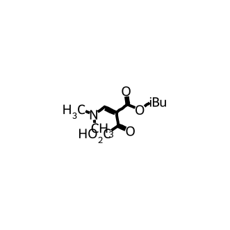 CCC(C)OC(=O)C(=CN(C)C)C(=O)C(=O)O